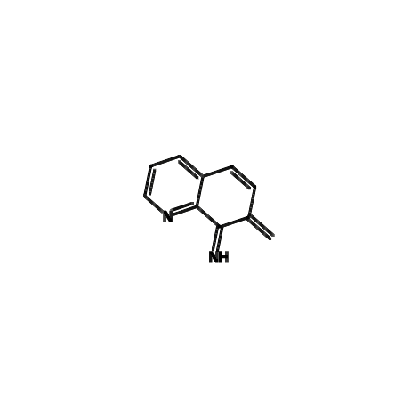 C=C1C=Cc2cccnc2C1=N